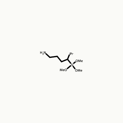 CO[Si](OC)(OC)C(CCCN)[C](C)C